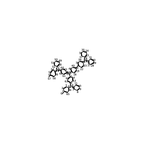 Cc1ccc(N(c2ccccc2)c2ccc(N(c3ccc(-c4ccc(N(c5ccccc5)c5ccccc5)cc4)cc3)c3ccc(N(c4ccccc4)c4ccc(C)cc4)cc3)cc2)cc1